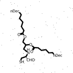 CCCCCCCCCCCCCCCC(=O)OCC(CN[C@H]([C]=O)CS)OC(=O)CCCCCCCCCCCCCCC